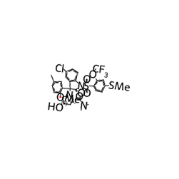 COc1ccc(C)cc1C1(N2C[C@H](O)C[C@H]2C(=O)N(C)C)C(=O)N(S(=O)(=O)c2ccc(SC)cc2OC(F)(F)F)c2ccc(Cl)cc21